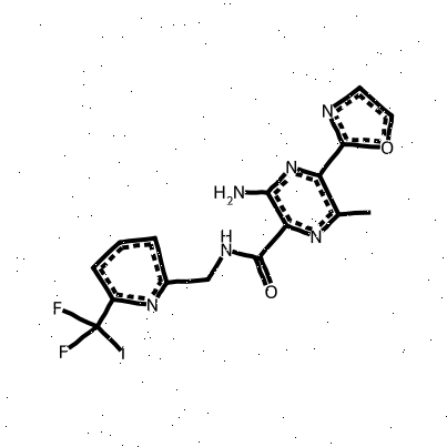 Cc1nc(C(=O)NCc2cccc(C(F)(F)I)n2)c(N)nc1-c1ncco1